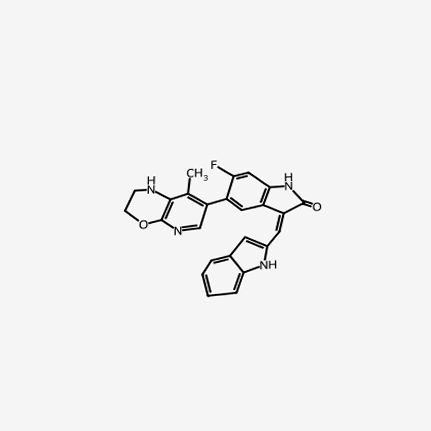 Cc1c(-c2cc3c(cc2F)NC(=O)C3=Cc2cc3ccccc3[nH]2)cnc2c1NCCO2